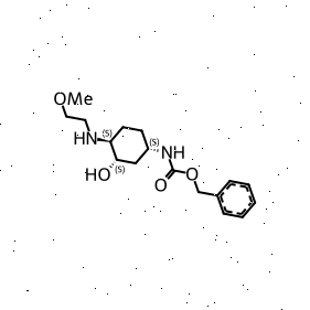 COCCN[C@H]1CC[C@H](NC(=O)OCc2ccccc2)C[C@@H]1O